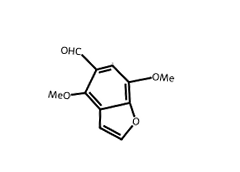 COc1c(C=O)[c]c(OC)c2occc12